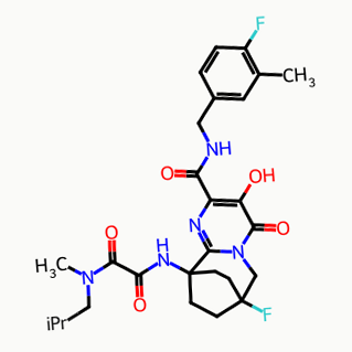 Cc1cc(CNC(=O)c2nc3n(c(=O)c2O)CC2(F)CCC3(NC(=O)C(=O)N(C)CC(C)C)CC2)ccc1F